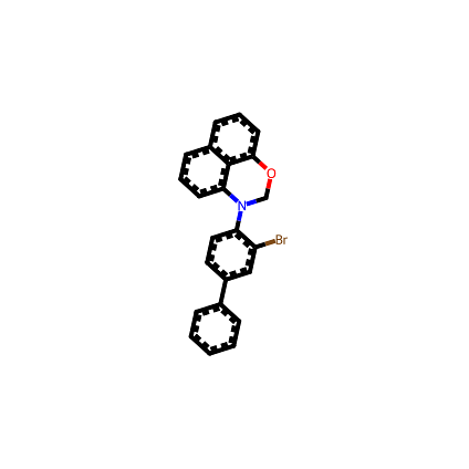 Brc1cc(-c2ccccc2)ccc1N1COc2cccc3cccc1c23